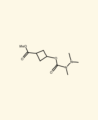 COC(=O)C1CC(OC(=O)N(C)N(C)C)C1